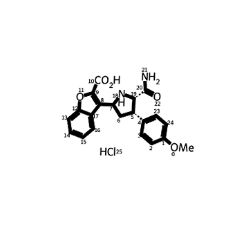 COc1ccc([C@@H]2CC(c3c(C(=O)O)oc4ccccc34)N[C@@H]2C(N)=O)cc1.Cl